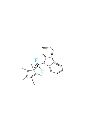 CC1=C(C)[C](C)([Zr]([F])([F])[CH]2c3ccccc3-c3ccccc32)C(C)=C1C